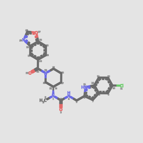 CN(C(=O)NCc1cc2cc(Cl)ccc2[nH]1)[C@@H]1CCCN(C(=O)c2ccc3ocnc3c2)C1